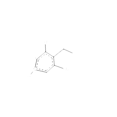 CCc1c(Cl)c[n+]([O-])cc1Cl